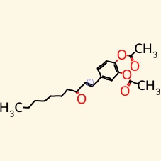 CCCCCCCC(=O)/C=C/c1ccc(OC(C)=O)c(OC(C)=O)c1